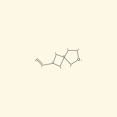 C=CC1CC2(CCOC2)C1